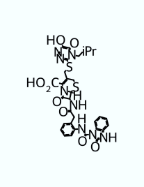 CC(C)Cn1c(SCC2=C(C(=O)O)N3C(=O)C(NC(=O)Cc4ccccc4NC(=O)n4c(=O)[nH]c5ccccc54)[C@H]3SC2)nnc(O)c1=O